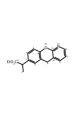 CCOC(=O)C(C)c1ccc2c(c1)Cc1cccnc1O2